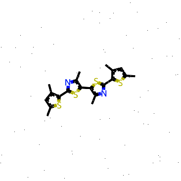 Cc1cc(C)c(-c2nc(C)c(-c3sc(-c4sc(C)cc4C)nc3C)s2)s1